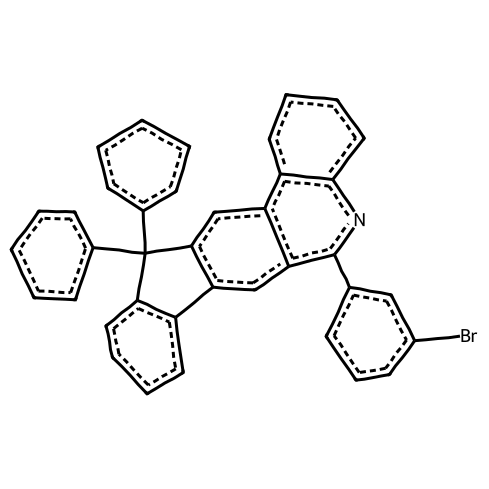 Brc1cccc(-c2nc3ccccc3c3cc4c(cc23)-c2ccccc2C4(c2ccccc2)c2ccccc2)c1